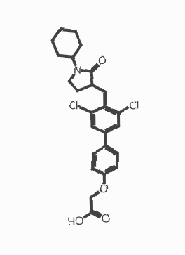 O=C(O)COc1ccc(-c2cc(Cl)c(CC3CCN(C4CCCCC4)C3=O)c(Cl)c2)cc1